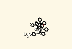 CC(=O)OC(c1ccsc1)C1C(=O)N(C(C(=O)OCc2ccc([N+](=O)[O-])cc2)=P(c2ccccc2)(c2ccccc2)c2ccccc2)C1SC(c1ccccc1)(c1ccccc1)c1ccccc1